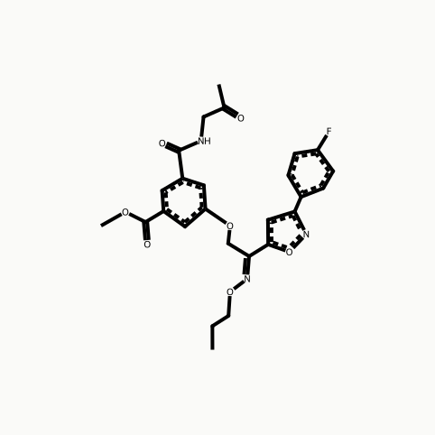 CCCO/N=C(\COc1cc(C(=O)NCC(C)=O)cc(C(=O)OC)c1)c1cc(-c2ccc(F)cc2)no1